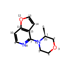 C[C@H]1COCCN1c1nccc2occc12